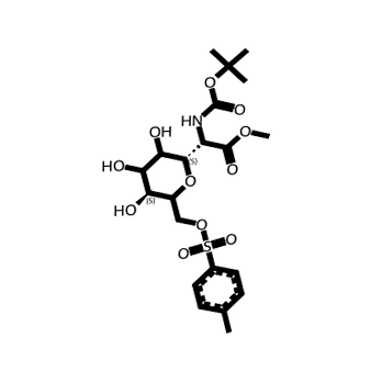 COC(=O)C(NC(=O)OC(C)(C)C)[C@@H]1OC(COS(=O)(=O)c2ccc(C)cc2)[C@@H](O)C(O)C1O